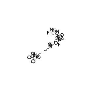 N#Cc1ncc(N2C(=O)C3(CCC3)N(Cc3ccc(-c4cn(CCCCCCCCC(=O)NOC(c5ccccc5)(c5ccccc5)c5ccccc5)nn4)cc3F)C2=S)cc1C(F)(F)F